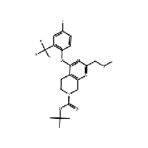 COCc1nc2c(c(Oc3ccc(F)cc3C(F)(F)F)n1)CCN(C(=O)OC(C)(C)C)C2